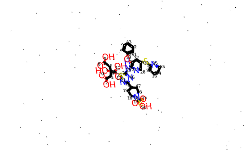 O=C(O)CC(O)(CC(=O)O)C(=O)O.O=S(=O)(O)N1CCC(c2nsc(Nc3ncc(Sc4ccccn4)cc3Oc3ccccc3)n2)CC1